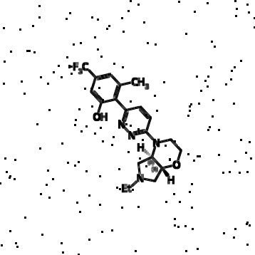 CCN1C[C@@H]2[C@@H](C1)OCCN2c1ccc(-c2c(C)cc(C(F)(F)F)cc2O)nn1